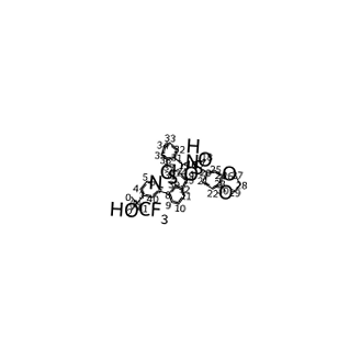 C[C@@](O)(c1ccnc(-c2cccc3cc(C(NS(=O)(=O)c4ccc5c(c4)OCCCO5)c4ccccc4Cl)sc23)c1)C(F)(F)F